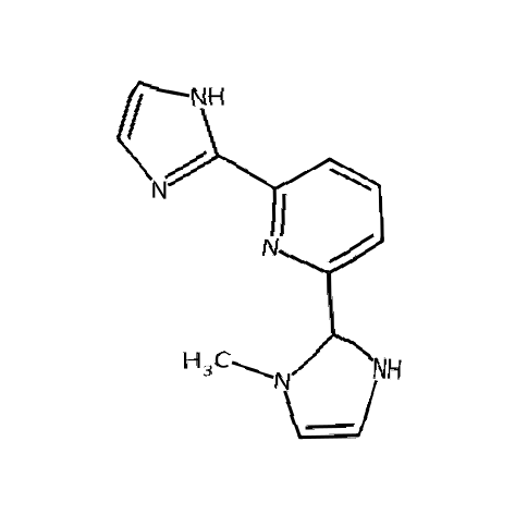 CN1C=CNC1c1cccc(-c2ncc[nH]2)n1